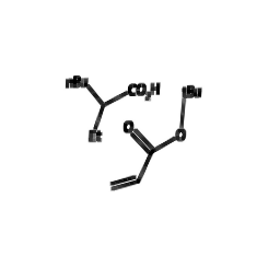 C=CC(=O)OC(C)(C)C.CCCCC(CC)C(=O)O